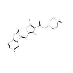 Cc1[nH]c(/C=C2\C(=O)Nc3ccc(F)cc32)c(C)c1C(=O)NC1CCS(=O)(=O)CC1